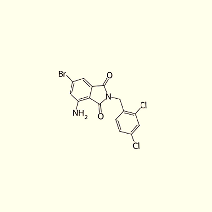 Nc1cc(Br)cc2c1C(=O)N(Cc1ccc(Cl)cc1Cl)C2=O